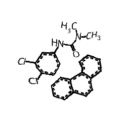 CN(C)C(=O)Nc1ccc(Cl)c(Cl)c1.c1ccc2c(c1)ccc1ccccc12